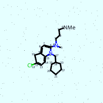 CNCCCN(C)C1=CC=C2CC(Cl)=CC=C2N1CC1CCCCC1